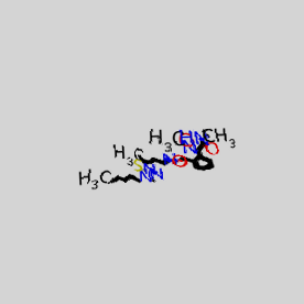 CCCCCCN1C=NN2C(CC=NOCc3ccccc3C(=NOC)C(=O)NC)=C(C)SC12